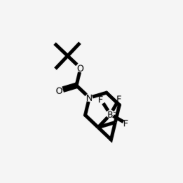 CC(C)(C)OC(=O)N1CCC2CC2([B-](F)(F)F)C1